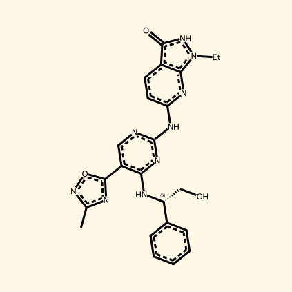 CCn1[nH]c(=O)c2ccc(Nc3ncc(-c4nc(C)no4)c(N[C@H](CO)c4ccccc4)n3)nc21